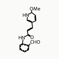 COC1C=CC(/C=C/C(=O)Nc2ccccc2C=O)=CN1